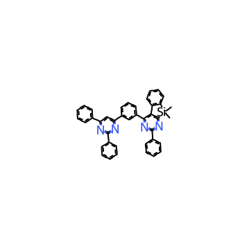 C[Si]1(C)c2ccccc2-c2c(-c3cccc(-c4cc(-c5ccccc5)nc(-c5ccccc5)n4)c3)nc(-c3ccccc3)nc21